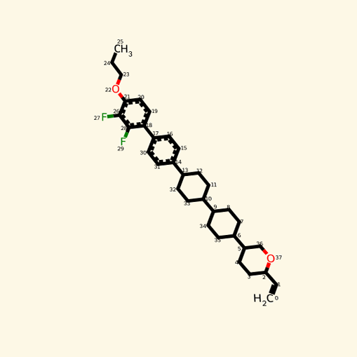 C=CC1CCC(C2CCC(C3CCC(c4ccc(-c5ccc(OCCC)c(F)c5F)cc4)CC3)CC2)CO1